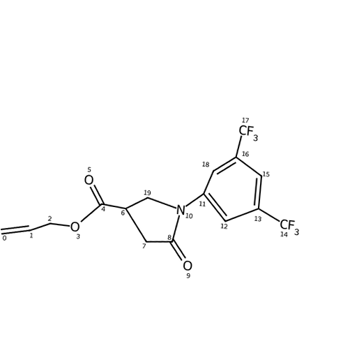 C=CCOC(=O)C1CC(=O)N(c2cc(C(F)(F)F)cc(C(F)(F)F)c2)C1